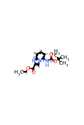 CCOC(=O)c1cn2c(NC(=O)OC(C)(C)C)cccc2n1